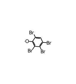 [O]c1c(Br)cc(Br)c(Br)c1Br